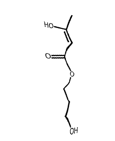 C/C(O)=C/C(=O)OCCCO